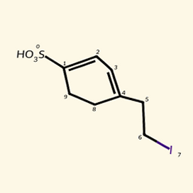 O=S(=O)(O)C1=CC=C(CCI)CC1